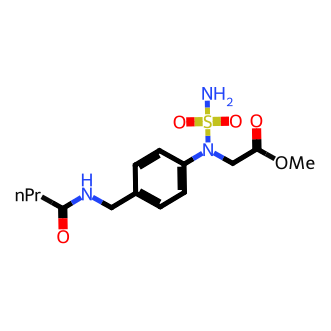 CCCC(=O)NCc1ccc(N(CC(=O)OC)S(N)(=O)=O)cc1